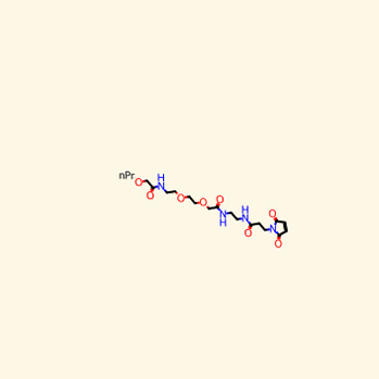 CCCOCC(=O)NCCOCCOCC(=O)NCCNC(=O)CCN1C(=O)C=CC1=O